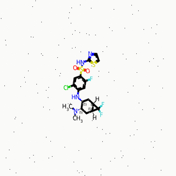 CN(C)[C@H]1C[C@H]2[C@@H](C[C@@H]1Nc1cc(F)c(S(=O)(=O)Nc3nccs3)cc1Cl)C2(F)F